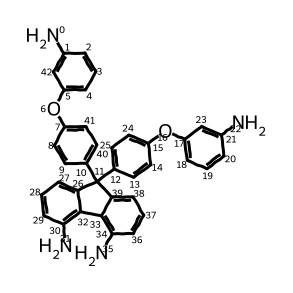 Nc1cccc(Oc2ccc(C3(c4ccc(Oc5cccc(N)c5)cc4)c4cccc(N)c4-c4c(N)cccc43)cc2)c1